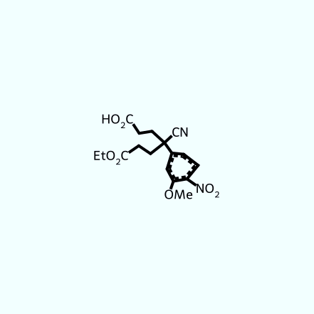 CCOC(=O)CCC(C#N)(CCC(=O)O)c1ccc([N+](=O)[O-])c(OC)c1